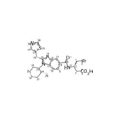 CC(C)C[C@@H](CC(=O)O)NC(=O)c1ccc2c(c1)nc(Cc1cncs1)n2C1CCCC[C@H]1C